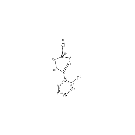 Fc1cnccc1C1=CCN(Cl)CC1